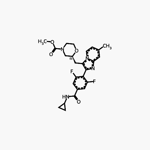 COC(=O)N1CCO[C@@H](Cc2c(-c3c(F)cc(C(=O)NC4CC4)cc3F)nc3cc(C)ccn23)C1